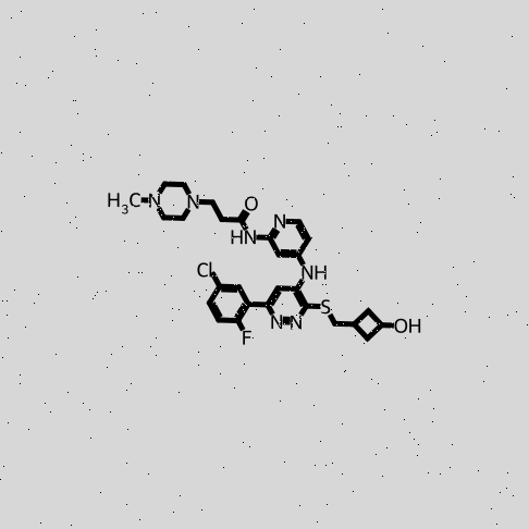 CN1CCN(CCC(=O)Nc2cc(Nc3cc(-c4cc(Cl)ccc4F)nnc3SCC3CC(O)C3)ccn2)CC1